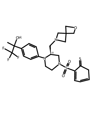 CC(O)(c1ccc(N2CCN(S(=O)(=O)C3=CC=CCC3=S)C[C@@H]2CN2CC3(COC3)C2)cc1)C(F)(F)F